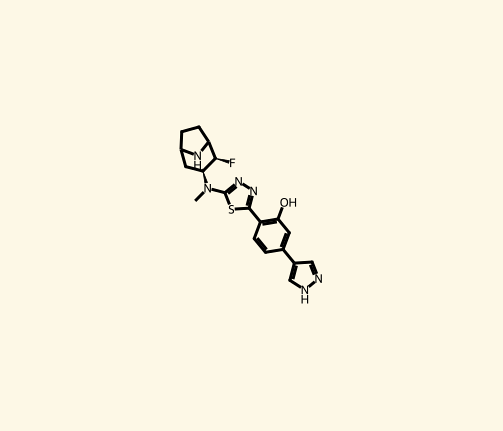 CN(c1nnc(-c2ccc(-c3cn[nH]c3)cc2O)s1)[C@H]1CC2CCC(N2)[C@H]1F